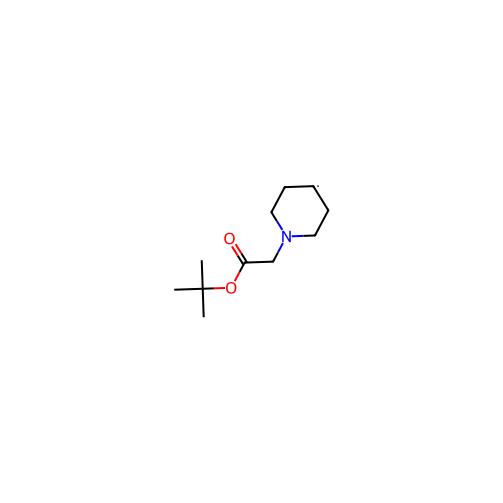 CC(C)(C)OC(=O)CN1CC[CH]CC1